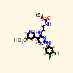 CC(C)(C)OC(=O)NCCNc1nc(Nc2ccc(F)c(Cl)c2)ncc1-c1cncc(C(=O)O)c1